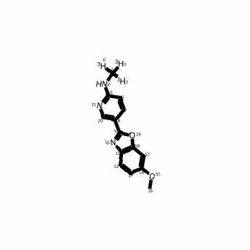 [3H]C([3H])([3H])Nc1ccc(-c2nc3ccc(OC)cc3o2)cn1